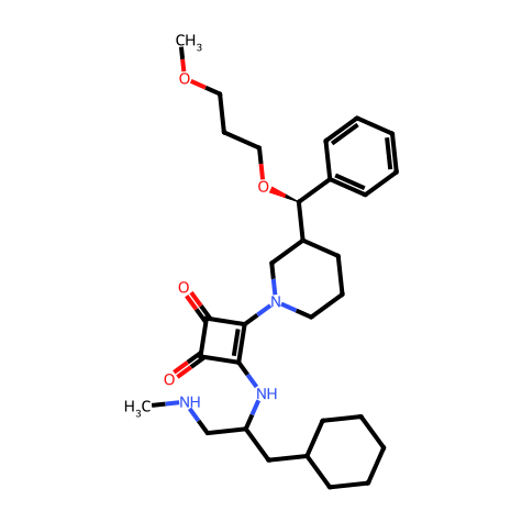 CNCC(CC1CCCCC1)Nc1c(N2CCCC([C@@H](OCCCOC)c3ccccc3)C2)c(=O)c1=O